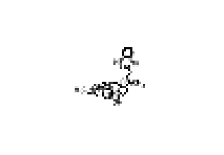 CC[C@@H](O)C[C@H]1C[C@H](O)[C@@H]2[C@H](CC[C@]3(C)[C@@H]([C@H](C)CCC(=O)Nc4ccccc4S)CC[C@@H]23)C1(C)C